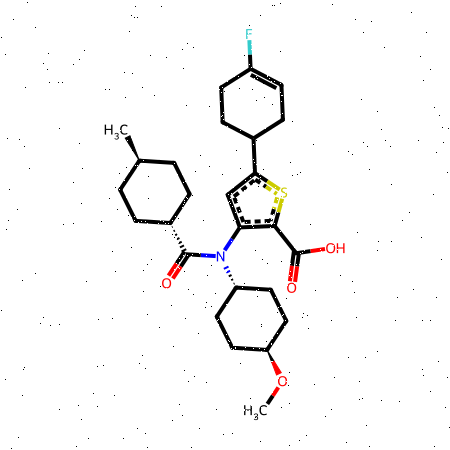 CO[C@H]1CC[C@H](N(c2cc(C3CC=C(F)CC3)sc2C(=O)O)C(=O)[C@H]2CC[C@H](C)CC2)CC1